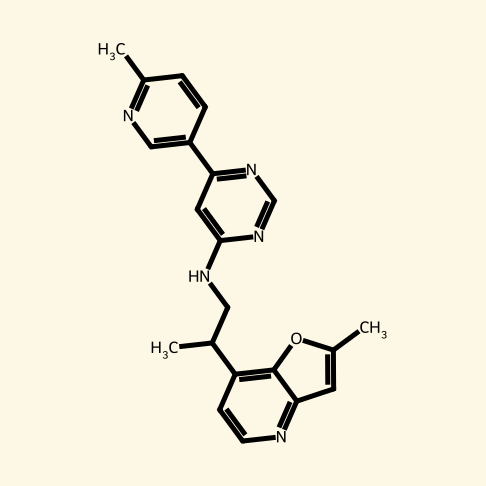 Cc1ccc(-c2cc(NCC(C)c3ccnc4cc(C)oc34)ncn2)cn1